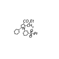 CCOC(=O)c1cc(-c2ccccc2)n(-c2cccc(S(=O)(=O)C(C)C)c2)c1C